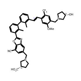 COc1cc(/C=C/c2cccc(-c3cccc(-c4nc5cc(CN6CC[C@H](C(=O)O)C6)cc(C#N)c5o4)c3C)c2C)c(C(F)(F)F)cc1CN1CC[C@H](O)C1